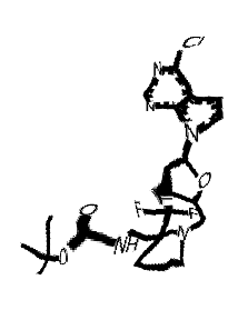 CC(C)(C)OC(=O)NCC1(C(F)(F)F)CCCN1CC1CCC(n2ccc3c(Cl)ncnc32)O1